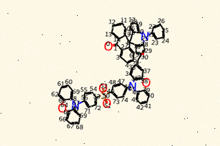 O=C1c2ccccc2C2(c3ccccc31)c1ccccc1N(c1ccccc1)c1ccc(-c3ccc4c(c3)Oc3ccccc3N4c3ccc(S(=O)(=O)c4ccc(N5c6ccccc6Oc6ccccc65)cc4)cc3)cc12